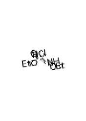 CCONC=CC(=O)OCC.Cl